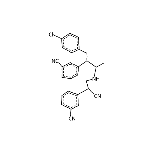 CC(NCC(C#N)c1cccc(C#N)c1)C(Cc1ccc(Cl)cc1)c1cccc(C#N)c1